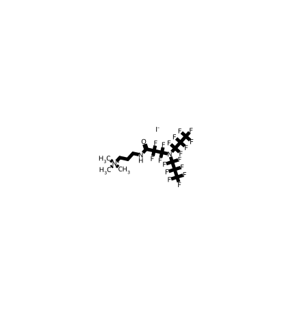 C[N+](C)(C)CCCNC(=O)C(F)(F)C(F)(F)N(C(F)(F)C(F)(F)C(F)(F)F)C(F)(F)C(F)(F)C(F)(F)F.[I-]